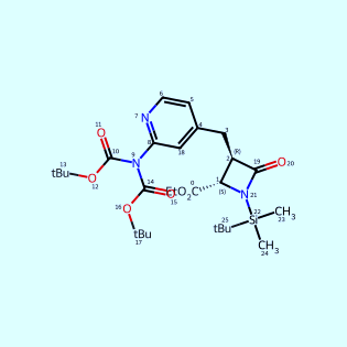 CCOC(=O)[C@@H]1[C@@H](Cc2ccnc(N(C(=O)OC(C)(C)C)C(=O)OC(C)(C)C)c2)C(=O)N1[Si](C)(C)C(C)(C)C